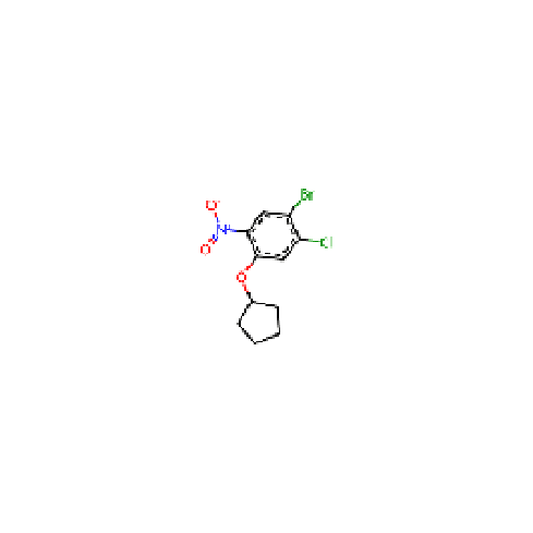 O=[N+]([O-])c1cc(Br)c(Cl)cc1OC1CCCC1